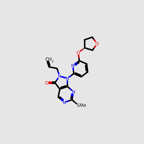 C=CCn1c(=O)c2cnc(SC)nc2n1-c1cccc(O[C@H]2CCOC2)n1